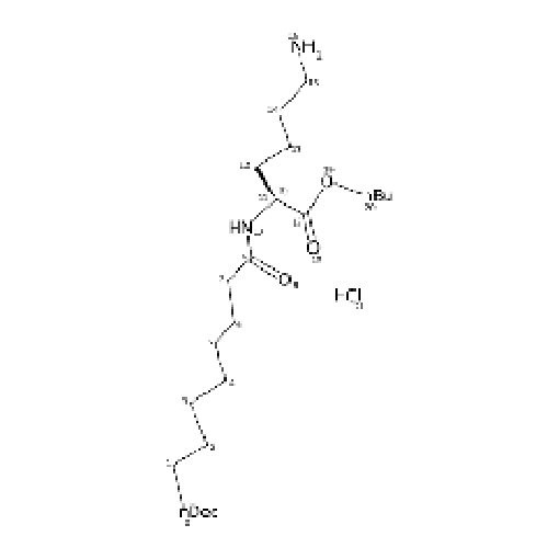 CCCCCCCCCCCCCCCCCC(=O)N[C@@H](CCCCN)C(=O)OCCCC.Cl